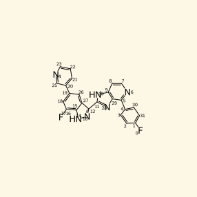 Fc1ccc(-c2nccc3[nH]c(-c4n[nH]c5c(F)cc(-c6cccnc6)cc45)nc23)cc1